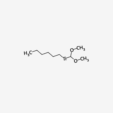 CCCCC[CH2][Ti][CH](OC)OC